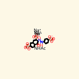 CC(=O)Nc1cc(S(=O)(=O)[O-])cc2cc(S(=O)(=O)[O-])c(N=Nc3ccc(S(=O)(=O)[O-])cc3)c(O)c12.[Na+].[Na+].[Na+]